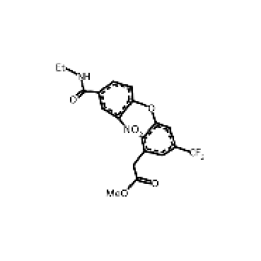 CCNC(=O)c1ccc(Oc2cc(CC(=O)OC)cc(C(F)(F)F)c2)c([N+](=O)[O-])c1